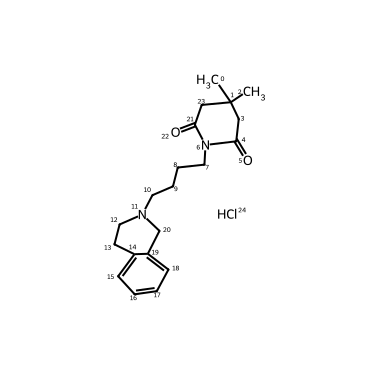 CC1(C)CC(=O)N(CCCCN2CCc3ccccc3C2)C(=O)C1.Cl